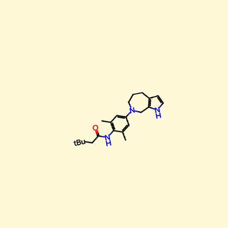 Cc1cc(N2CCCc3cc[nH]c3C2)cc(C)c1NC(=O)CC(C)(C)C